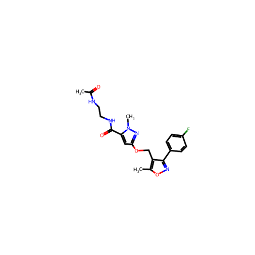 CC(=O)NCCNC(=O)c1cc(OCc2c(-c3ccc(F)cc3)noc2C)nn1C